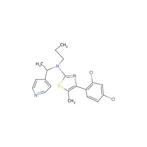 CCCN(c1nc(-c2ccc(Cl)cc2Cl)c(C)s1)C(C)c1ccncc1